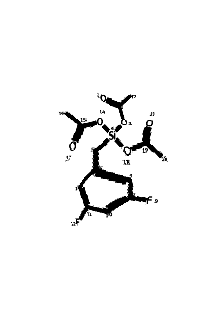 CC(=O)O[Si](Cc1cc(F)cc(F)c1)(OC(C)=O)OC(C)=O